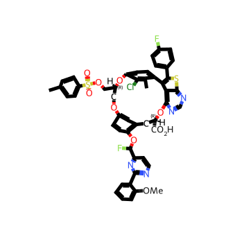 COc1ccccc1-c1nccc(C(F)Oc2ccc3cc2C[C@H](C(=O)O)Oc2ncnc4sc(-c5ccc(F)cc5)c(c24)-c2ccc(c(Cl)c2C)O[C@@H](COS(=O)(=O)c2ccc(C)cc2)CO3)n1